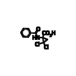 O=C(NC1(C(=O)O)CC1(Cl)Cl)c1ccccc1